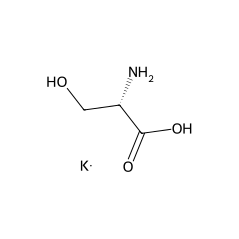 N[C@@H](CO)C(=O)O.[K]